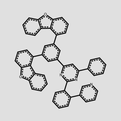 c1ccc(-c2cc(-c3cc(-c4cccc5oc6ccccc6c45)cc(-c4cccc5oc6ccccc6c45)c3)nc(-c3ccccc3-c3cccnc3)n2)cc1